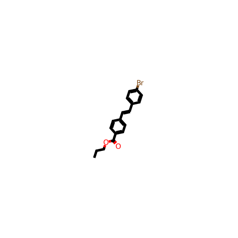 CCCOC(=O)c1ccc(C=Cc2ccc(Br)cc2)cc1